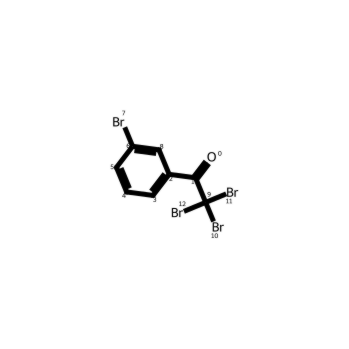 O=C(c1cccc(Br)c1)C(Br)(Br)Br